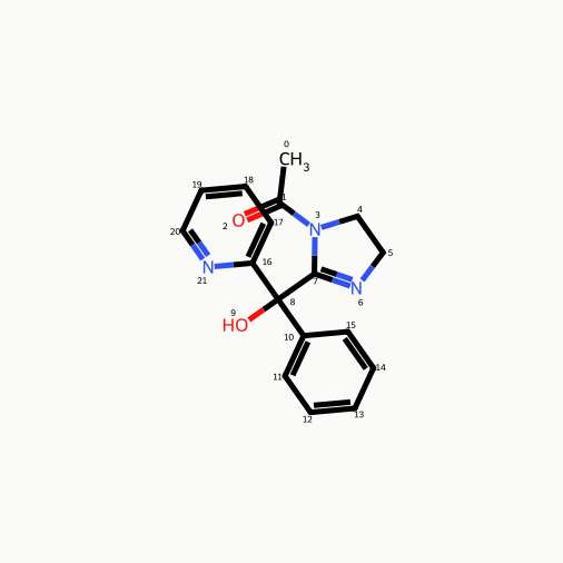 CC(=O)N1CCN=C1C(O)(c1ccccc1)c1ccccn1